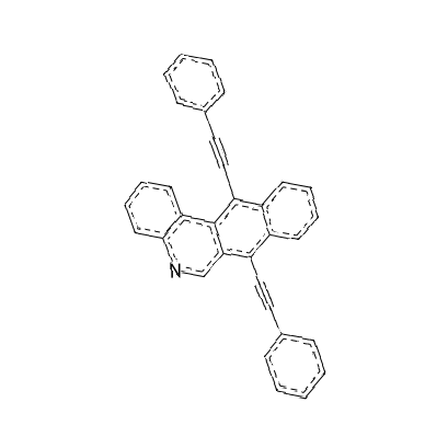 C(#Cc1c2ccccc2c(C#Cc2ccccc2)c2c1cnc1ccccc12)c1ccccc1